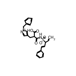 C=CC(C=Cc1ccccc1)S(=O)(=O)NC(=O)C(Cc1cnn(Cc2ccccc2)c1)C(=O)O